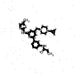 C=CC(=O)Nc1cccc(-c2cc(CN3CCN(C4CC4)CC3)cc(Nc3ncc(C)s3)n2)c1